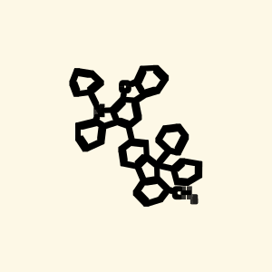 CC1CC=CC2=C1C(c1ccccc1)(C1C=CC=CC1)c1cc(-c3cc4c5ccccc5oc4c4c3c3ccccc3n4-c3ccccc3)ccc12